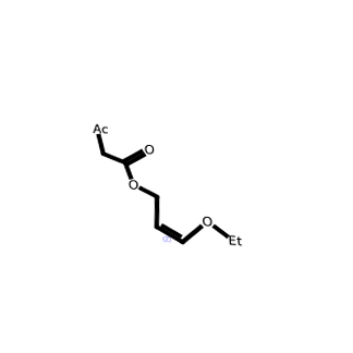 CCO/C=C\COC(=O)CC(C)=O